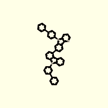 c1ccc(-c2ccc(-n3c4cc(-c5cccc6c5c5ccccc5n6-c5cccc(-c6ccccc6)c5)ccc4c4ncccc43)cc2)cc1